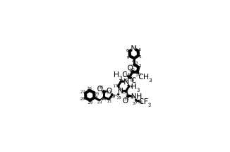 Cc1cc(-c2ccncc2)oc1C(C)(C)N1CCN(C[C@@H]2C[C@@H](Cc3ccccc3)C(=O)O2)[C@H](C(=O)NCC(F)(F)F)C1